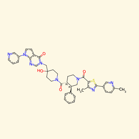 Cc1ccc(-c2nc(C)c(C(=O)N3CC[C@@H](C(=O)N4CCC(O)(Cn5cnc6c(ccn6-c6cccnc6)c5=O)CC4)[C@H](c4ccccc4)C3)s2)cn1